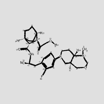 CN1COC[C@H]2CN(c3ccc(C[C@@H](C#N)NC(=O)[C@@H]4[C@H]5CC[C@H](C5)N4C(=O)OC(C)(C)C)c(F)c3)CC[C@@H]21